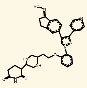 O=C1CCC(C2CNC(CCOc3ccccc3-n3cc(-c4ccc5c(c4)CC/C5=N\O)c(-c4ccncc4)n3)CN2)C(=O)N1